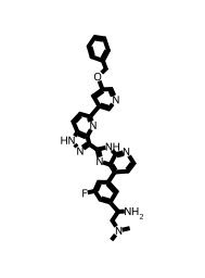 CN(C)CC(N)c1cc(F)cc(-c2ccnc3[nH]c(-c4n[nH]c5ccc(-c6cncc(OCc7ccccc7)c6)nc45)nc23)c1